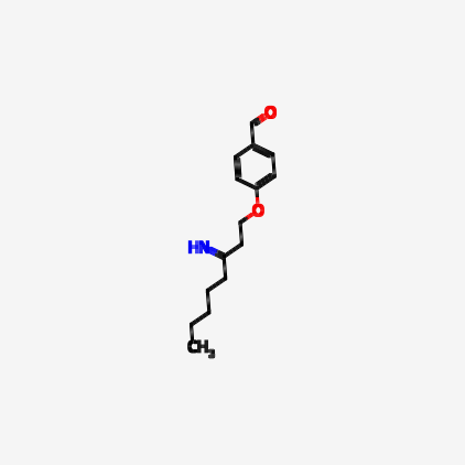 CCCCCC(=N)CCOc1ccc(C=O)cc1